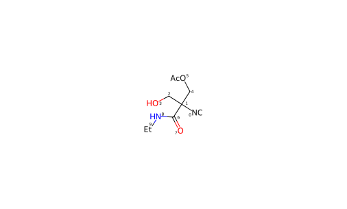 [C-]#[N+]C(CO)(COC(C)=O)C(=O)NCC